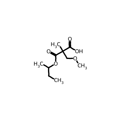 CCC(C)OC(=O)C(C)(COC)C(=O)O